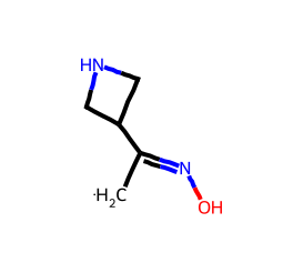 [CH2]C(=NO)C1CNC1